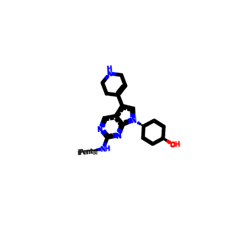 CCC[C@H](C)Nc1ncc2c(C3=CCNCC3)cn([C@H]3CC[C@H](O)CC3)c2n1